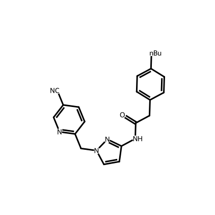 CCCCc1ccc(CC(=O)Nc2ccn(Cc3ccc(C#N)cn3)n2)cc1